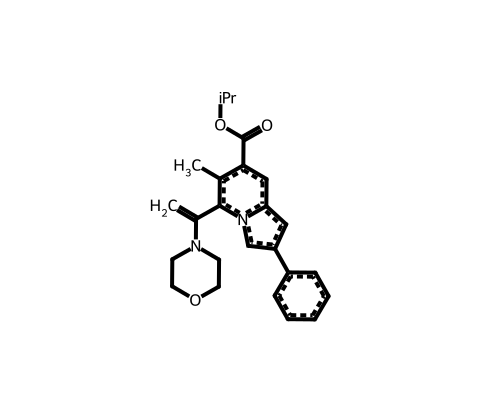 C=C(c1c(C)c(C(=O)OC(C)C)cc2cc(-c3ccccc3)cn12)N1CCOCC1